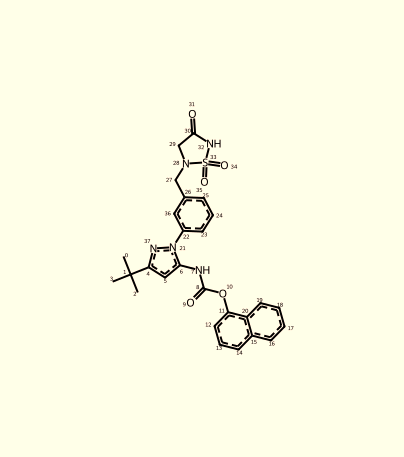 CC(C)(C)c1cc(NC(=O)Oc2cccc3ccccc23)n(-c2cccc(CN3CC(=O)NS3(=O)=O)c2)n1